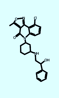 Cc1onc2c1c(=O)n(C1CCCC(NCC(O)c3ccccc3)C1)c1cccc(Cl)c21